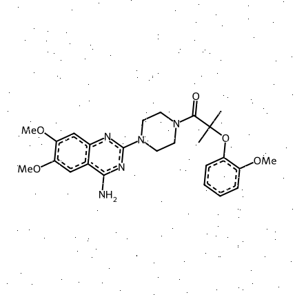 COc1cc2nc(N3CCN(C(=O)C(C)(C)Oc4ccccc4OC)CC3)nc(N)c2cc1OC